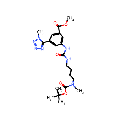 COC(=O)c1cc(NC(=O)NCCCCN(C)C(=O)OC(C)(C)C)cc(-c2nnnn2C)c1